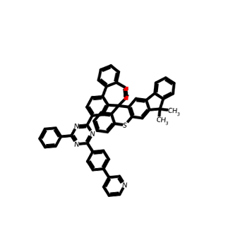 CC1(C)c2ccccc2-c2cc3c(cc21)Sc1ccccc1C31c2ccccc2-c2ccccc2-c2ccc(-c3nc(-c4ccccc4)nc(-c4ccc(-c5cccnc5)cc4)n3)cc21